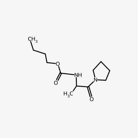 CCCCOC(=O)NC(C)C(=O)N1CCCC1